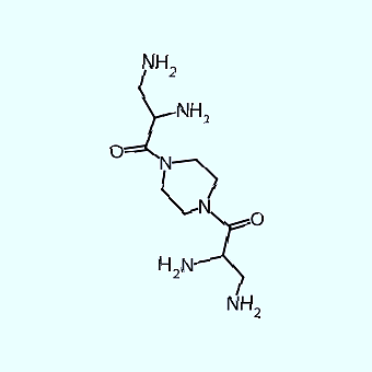 NCC(N)C(=O)N1CCN(C(=O)C(N)CN)CC1